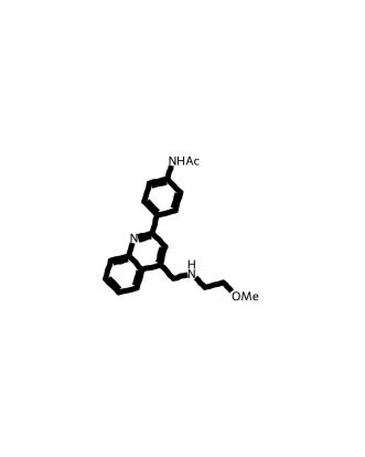 COCCNCc1cc(-c2ccc(NC(C)=O)cc2)nc2ccccc12